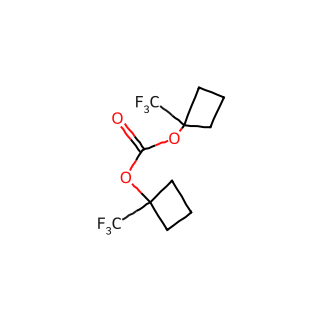 O=C(OC1(C(F)(F)F)CCC1)OC1(C(F)(F)F)CCC1